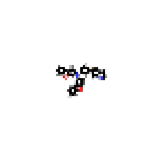 c1cnc2cc3c(cc2c1)sc1ccc(N(c2ccc4c(c2)oc2ccccc24)c2ccc4oc5ccccc5c4c2)cc13